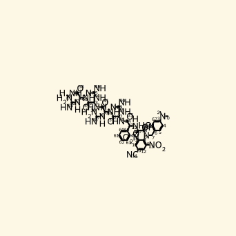 CN(C)c1ccc(CN(c2c([N+](=O)[O-])cc(C#N)cc2[N+](=O)[O-])C(O)C(=O)NC(C(=O)NC(NC(=N)N)C(=O)NC(NC(=N)N)C(=O)NC(NC(=N)N)C(=O)NC(NC(=N)N)C(N)=O)c2ccccc2)c(O)c1